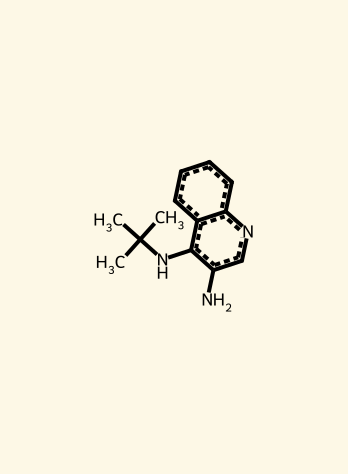 CC(C)(C)Nc1c(N)cnc2ccccc12